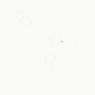 COCCCN1CCOc2ccc(CO[C@H]3CNCC[C@@H]3c3ccc(OCCOc4ccc5c(c4)OCO5)cc3)cc21